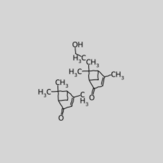 CC1=CC(=O)C2CC1C2(C)C.CC1=CC(=O)C2CC1C2(C)C.CCO